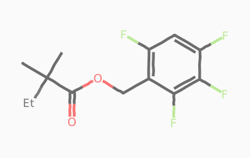 CCC(C)(C)C(=O)OCc1c(F)cc(F)c(F)c1F